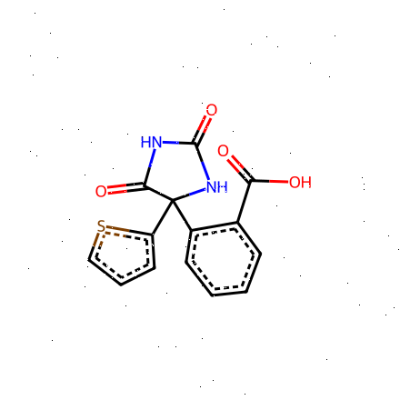 O=C1NC(=O)C(c2cccs2)(c2ccccc2C(=O)O)N1